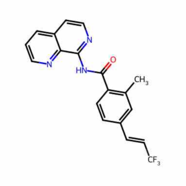 Cc1cc(/C=C/C(F)(F)F)ccc1C(=O)Nc1nccc2cccnc12